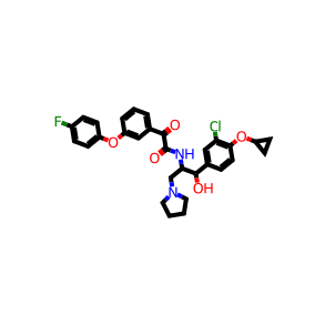 O=C(NC(CN1CCCC1)C(O)c1ccc(OC2CC2)c(Cl)c1)C(=O)c1cccc(Oc2ccc(F)cc2)c1